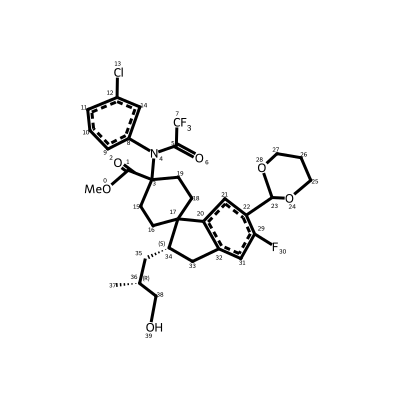 COC(=O)C1(N(C(=O)C(F)(F)F)c2cccc(Cl)c2)CCC2(CC1)c1cc(C3OCCCO3)c(F)cc1C[C@@H]2C[C@@H](C)CO